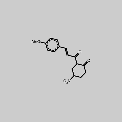 COc1ccc(/C=C/C(=O)C2CC([N+](=O)[O-])CCC2=O)cc1